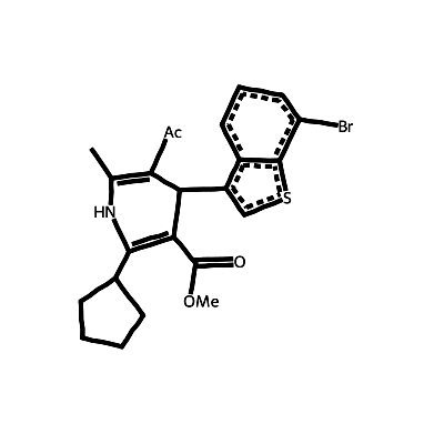 COC(=O)C1=C(C2CCCC2)NC(C)=C(C(C)=O)C1c1csc2c(Br)cccc12